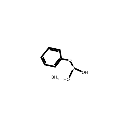 B.OB(O)Oc1ccccc1